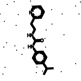 CC(C)c1ccc(NC(=O)NCCc2ccccn2)cc1